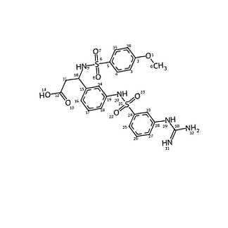 COc1ccc(S(=O)(=O)NC(CC(=O)O)c2cccc(NS(=O)(=O)c3cccc(NC(=N)N)c3)c2)cc1